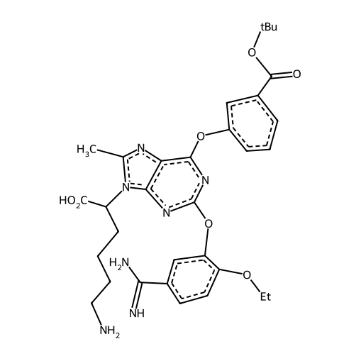 CCOc1ccc(C(=N)N)cc1Oc1nc(Oc2cccc(C(=O)OC(C)(C)C)c2)c2nc(C)n(C(CCCCN)C(=O)O)c2n1